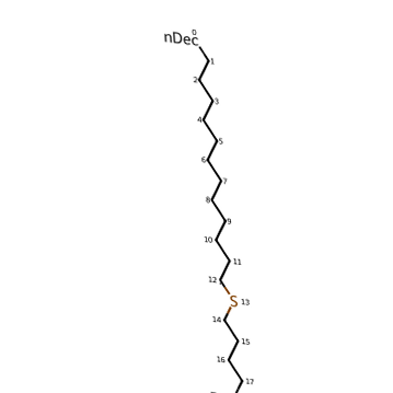 CCCCCCCCCCCCCCCCCCCCC[CH]SCCCCCCCCCCCCCC